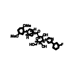 COc1ccc(OC)c(N2C[C@@H]3C[C@H]2CN3C(=O)[C@@H]2O[C@H](CO)[C@H](O)[C@H](n3cnc(-c4cccc(F)c4)c3)[C@H]2O)c1